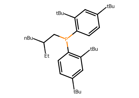 CCCCC(CC)CP(c1ccc(C(C)(C)C)cc1C(C)(C)C)c1ccc(C(C)(C)C)cc1C(C)(C)C